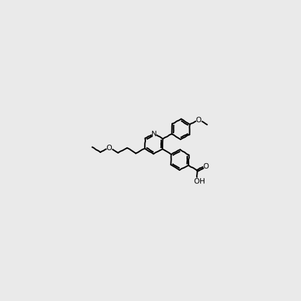 CCOCCCc1cnc(-c2ccc(OC)cc2)c(-c2ccc(C(=O)O)cc2)c1